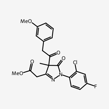 COC(=O)CC1=NN(c2ccc(F)cc2Cl)C(=O)C1(C)C(=O)Cc1cccc(OC)c1